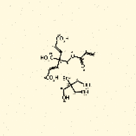 C=CC(=O)OCC(C=CC(=O)O)(C=CC(=O)O)C(=O)O.CCC(CO)(CO)CO